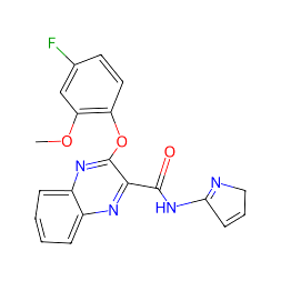 COc1cc(F)ccc1Oc1nc2ccccc2nc1C(=O)NC1=NCC=C1